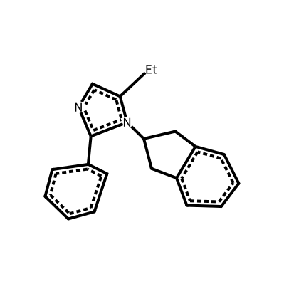 CCc1cnc(-c2ccccc2)n1C1Cc2ccccc2C1